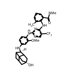 CNC(=O)c1cccc(C)c1Nc1nc(Nc2ccc(N[C@H]3C4CC5CC3C[C@](O)(C5)C4)cc2OC)ncc1C(F)(F)F